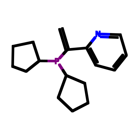 C=C(c1ccccn1)P(C1CCCC1)C1CCCC1